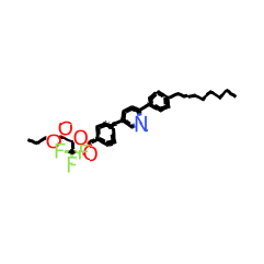 CCCCCCCCc1ccc(-c2ccc(-c3ccc(C(=O)OC(C(=O)OCCC)C(F)(F)F)cc3)cn2)cc1